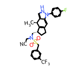 C[C@H]1C2=CNN(c3ccc(F)cc3)C2=CC2=C1[C@@H](CN(CC#N)S(=O)(=O)Cc1cccc(C(F)(F)F)c1)CC2